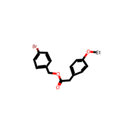 CCOc1ccc(CC(=O)OCc2ccc(Br)cc2)cc1